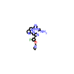 NC1CN(c2cncc(-c3ccc4c(n3)C(c3cc5c(-c6cc(F)cc(OCCN7CCCC7)c6)cncc5[nH]3)=NCCC4)n2)C1